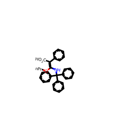 CCCOC(NC(c1ccccc1)(c1ccccc1)c1ccccc1)=C(C(=O)O)c1ccccc1